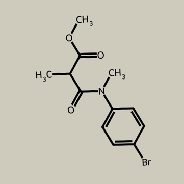 COC(=O)C(C)C(=O)N(C)c1ccc(Br)cc1